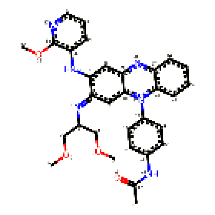 COCC(COC)/N=c1\cc2n(-c3ccc(NC(C)=O)cc3)c3ccccc3nc-2cc1Nc1cccnc1OC